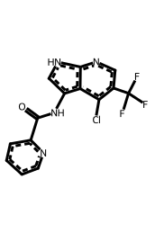 O=C(Nc1c[nH]c2ncc(C(F)(F)F)c(Cl)c12)c1ccccn1